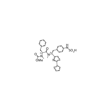 COC(=O)N(C)[C@@H](Cc1ccccc1)C(=O)N(C)[C@@H](Cc1ccc(NS(=O)(=O)O)cc1)c1csc(-c2cccs2)n1